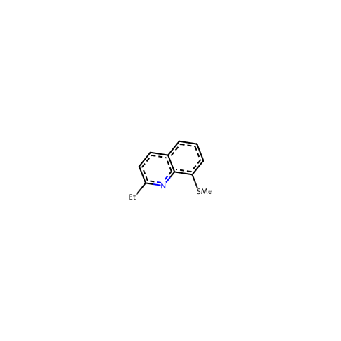 CCc1ccc2cccc(SC)c2n1